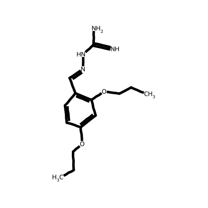 CCCOc1ccc(/C=N/NC(=N)N)c(OCCC)c1